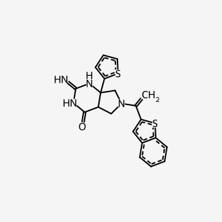 C=C(c1cc2ccccc2s1)N1CC2C(=O)NC(=N)NC2(c2cccs2)C1